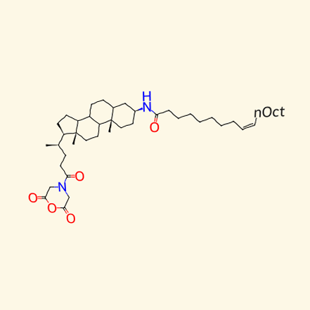 CCCCCCCC/C=C\CCCCCCCC(=O)N[C@H]1CC[C@@]2(C)C(CCC3C2CC[C@@]2(C)C3CC[C@@H]2[C@H](C)CCC(=O)N2CC(=O)OC(=O)C2)C1